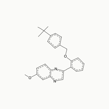 COc1ccc2nc(-c3ccccc3OCc3ccc(C(C)(C)C)cc3)cnc2c1